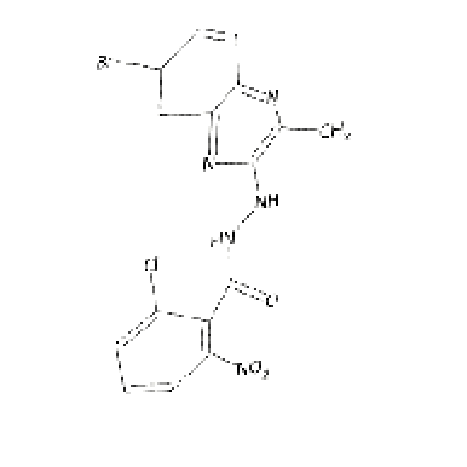 Cc1nc2ccc(Br)cc2nc1NNC(=O)c1c(Cl)cccc1[N+](=O)[O-]